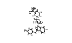 CC(C)(NC(=O)c1nn(Cc2ccc(F)cc2)c2ccccc12)C1CCCN(C(N)=O)C1